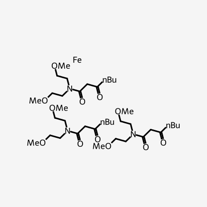 CCCCC(=O)CC(=O)N(CCOC)CCOC.CCCCC(=O)CC(=O)N(CCOC)CCOC.CCCCC(=O)CC(=O)N(CCOC)CCOC.[Fe]